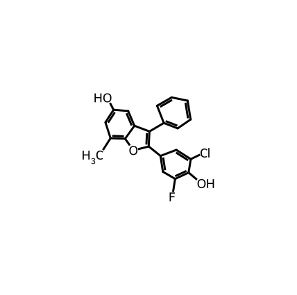 Cc1cc(O)cc2c(-c3ccccc3)c(-c3cc(F)c(O)c(Cl)c3)oc12